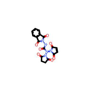 O=C1c2ccccc2C(=O)N1[N]C(=O)N(N1C(=O)C=CC1=O)N1C(=O)CCC1=O